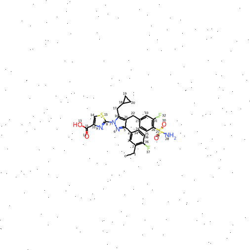 CCc1cc(-c2nn(-c3nc(C(=O)O)cs3)c(CC3CC3)c2Cc2ccc(S(N)(=O)=O)c(F)c2)ccc1F